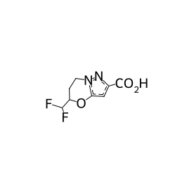 O=C(O)c1cc2n(n1)CCC(C(F)F)O2